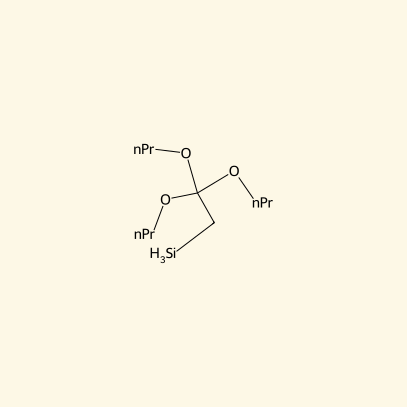 CCCOC(C[SiH3])(OCCC)OCCC